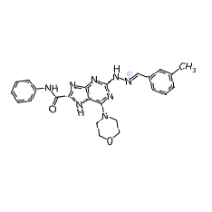 Cc1cccc(/C=N/Nc2nc(N3CCOCC3)c3[nH]c(C(=O)Nc4ccccc4)nc3n2)c1